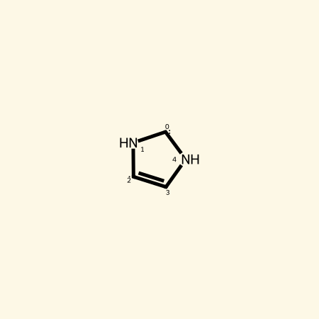 [C]1N[C]=CN1